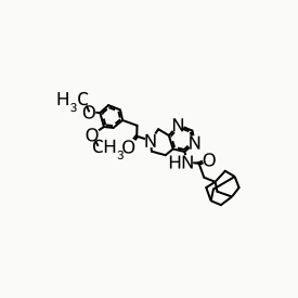 COc1ccc(CC(=O)N2CCc3c(ncnc3NC(=O)CC34CC5CC(CC(C5)C3)C4)C2)cc1OC